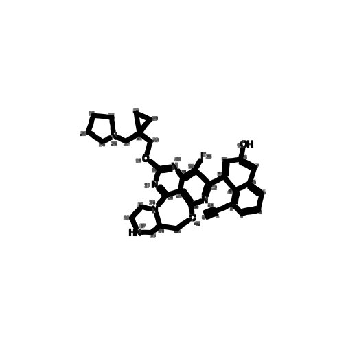 C#Cc1cccc2cc(O)cc(-c3nc4c5c(nc(OCC6(CN7CCCC7)CC6)nc5c3F)N3CCNCC3CO4)c12